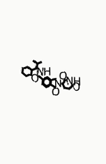 CC(C)C(NC(=O)c1ccc2c(c1)CN(C1CCC(=O)NC1=O)C2=O)C1CCCCC1